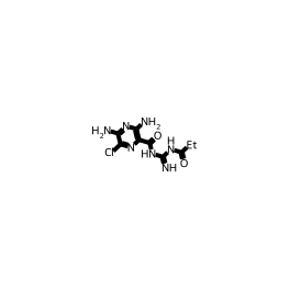 CCC(=O)NC(=N)NC(=O)c1nc(Cl)c(N)nc1N